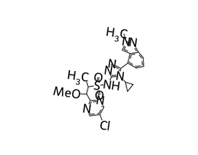 COC(c1ncc(Cl)cn1)C(C)S(=O)(=O)Nc1nnc(-c2cccc3nn(C)cc23)n1C1CC1